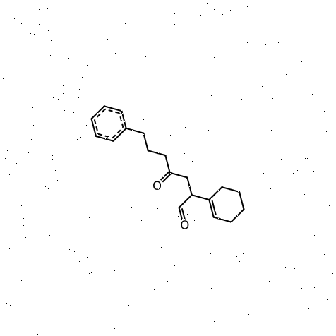 O=CC(CC(=O)CCCc1ccccc1)C1=CCCCC1